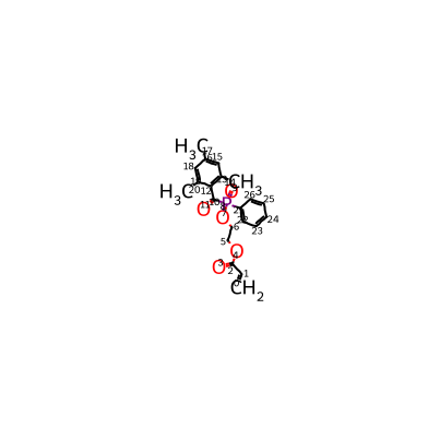 C=CC(=O)OCCOP(=O)(C(=O)c1c(C)cc(C)cc1C)c1ccccc1